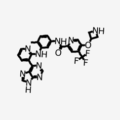 Cc1ccc(NC(=O)c2cc(C(F)(F)F)c(OC3CNC3)cn2)cc1Nc1ncccc1-c1ncnc2[nH]cnc12